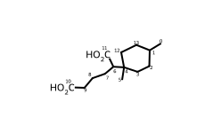 CC1CCC(C)(C(CCCC(=O)O)C(=O)O)CC1